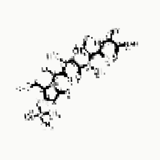 CC[C@@H](C(=O)N(C)[C@H](C)C(=O)N(C)[C@@H](CC(C)C)C(=O)N[C@H](C(=O)NC)C(C)C)N1C(=O)C[C@H](O[Si](C)(C)C(C)(C)C)C1CC=O